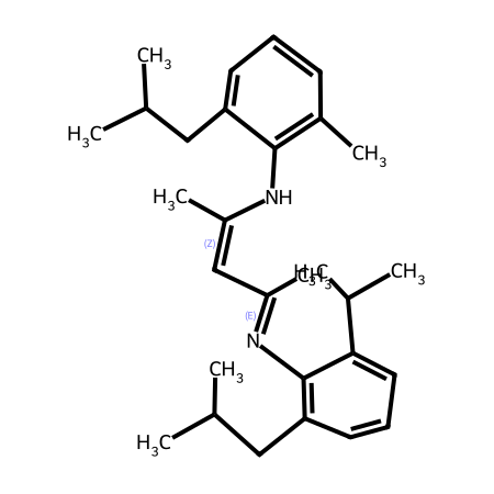 C/C(=C/C(C)=N/c1c(CC(C)C)cccc1C(C)C)Nc1c(C)cccc1CC(C)C